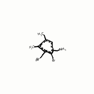 Cc1cc(N)c(Br)c(Br)c1C